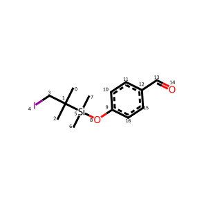 CC(C)(CI)[Si](C)(C)Oc1ccc(C=O)cc1